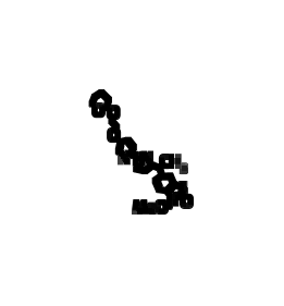 COCn1c(=O)sc2cc(C(C)c3ccn(-c4ccc(OCCOC5CCCCO5)cn4)n3)ccc21